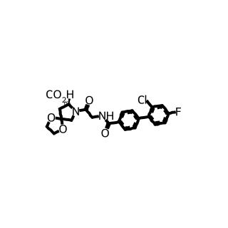 O=C(NCC(=O)N1CC2(C[C@H]1C(=O)O)OCCO2)c1ccc(-c2ccc(F)cc2Cl)cc1